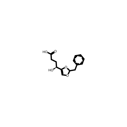 O=C(O)CC[C@H](O)C1=COC(Cc2ccccc2)O1